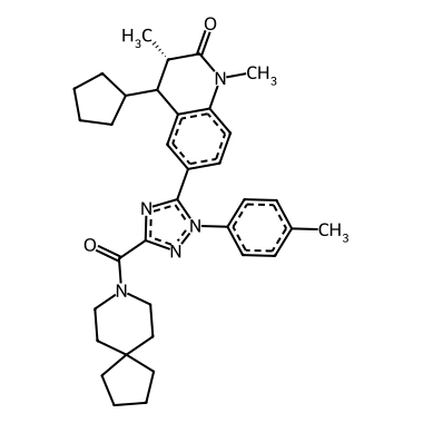 Cc1ccc(-n2nc(C(=O)N3CCC4(CCCC4)CC3)nc2-c2ccc3c(c2)C(C2CCCC2)[C@H](C)C(=O)N3C)cc1